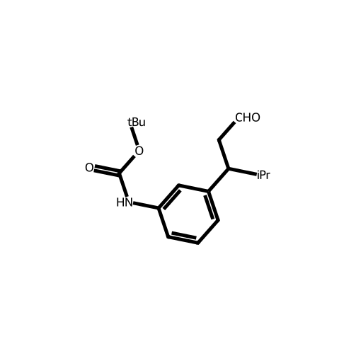 CC(C)C(CC=O)c1cccc(NC(=O)OC(C)(C)C)c1